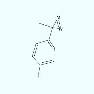 CC1(c2ccc(I)cc2)N=N1